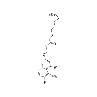 C#Cc1c(F)ccc2cc(OCOC(=O)CCCCCCCCCCCCCCCC)cc(C(C)C)c12